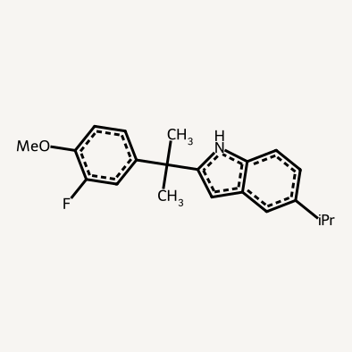 COc1ccc(C(C)(C)c2cc3cc(C(C)C)ccc3[nH]2)cc1F